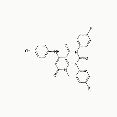 Cn1c(=O)cc(Nc2ccc(Cl)cc2)c2c(=O)n(-c3ccc(F)cc3)c(=O)n(-c3ccc(F)cc3)c21